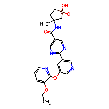 CCOc1cccnc1Oc1cncc(-c2ncc(C(=O)NC3(C)CCS(O)(O)C3)cn2)c1